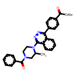 COC(=O)c1ccc(-c2nnc(N3CCN(C(=O)c4ccccc4)CC3C)c3ccccc23)cc1